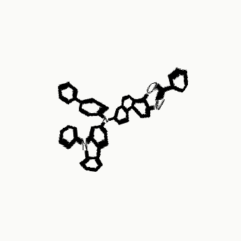 c1ccc(-c2ccc(N(c3ccc4c(ccc5c4ccc4nc(-c6ccccc6)oc45)c3)c3ccc4c5ccccc5n(-c5ccccc5)c4c3)cc2)cc1